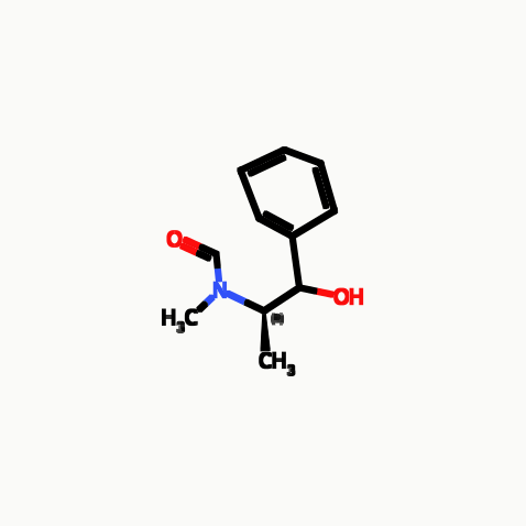 C[C@H](C(O)c1ccccc1)N(C)C=O